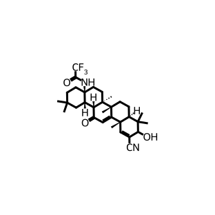 CC1(C)CC[C@]2(NC(=O)C(F)(F)F)CC[C@]3(C)[C@H](C(=O)C=C4[C@@]5(C)C=C(C#N)C(O)C(C)(C)[C@@H]5CC[C@]43C)[C@@H]2C1